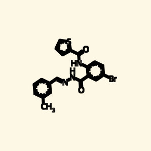 Cc1cccc(C=NNC(=O)c2cc(Br)ccc2NC(=O)c2cccs2)c1